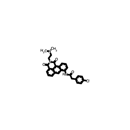 CN(C)CCN1C(=O)c2cccc3cc4c(NC(=O)Cc5ccc(Cl)cc5)cccc4c(c23)C1=O